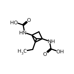 CCC1C2(NC(=O)O)CC1(NC(=O)O)C2